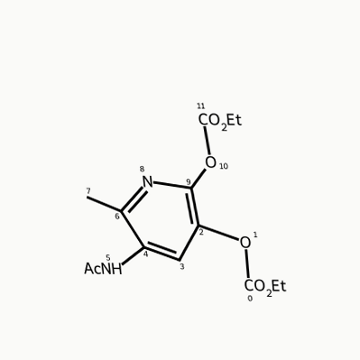 CCOC(=O)Oc1cc(NC(C)=O)c(C)nc1OC(=O)OCC